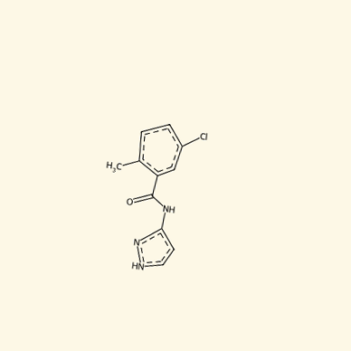 Cc1ccc(Cl)cc1C(=O)Nc1cc[nH]n1